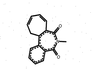 Cn1c(=O)c2c(c3ccccc3c1=O)CC=CC=C2